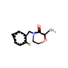 CC1OCCN(Cc2ccccc2Cl)C1=O